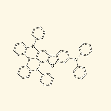 c1ccc(N(c2ccccc2)c2ccc3c(c2)oc2c4c5c(cc23)N(c2ccccc2)c2ccccc2B5c2ccccc2N4c2ccccc2)cc1